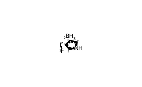 B.FI.c1cc[nH]c1